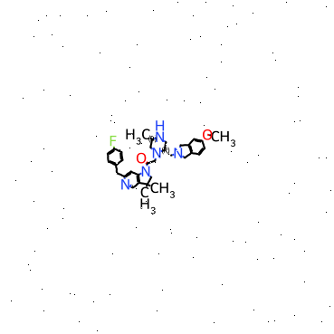 COc1ccc2c(c1)CN(C[C@H]1CN[C@H](C)CN1CC(=O)N1CC(C)(C)c3cnc(Cc4ccc(F)cc4)cc31)C2